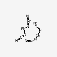 [N-]=[N+]=[N][Cu][N]=[N+]=[N-].[N-]=[N+]=[N][Pb][N]=[N+]=[N-]